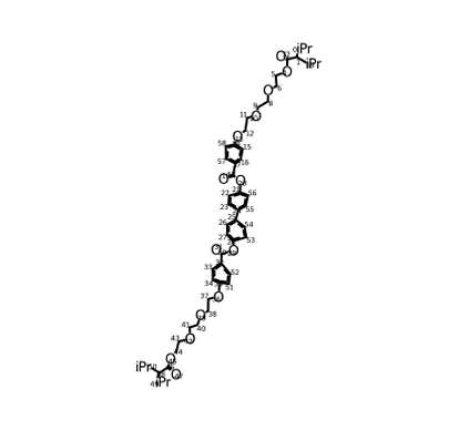 CC(C)C(C(=O)OCCOCCOCCOc1ccc(C(=O)Oc2ccc(-c3ccc(OC(=O)c4ccc(OCCOCCOCCOC(=O)C(C(C)C)C(C)C)cc4)cc3)cc2)cc1)C(C)C